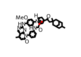 COc1cc(N2CC3CC[C@@H]2CN3C(=O)CC2(C)CC3CC(C)CC(C3)C2)ccc1Nc1ncc2c(C)cc(=O)n(-c3cccc(NC(=O)C4CC4)c3)c2n1